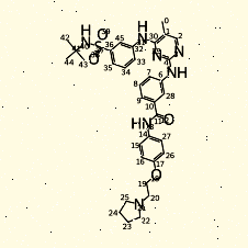 Cc1cnc(Nc2cccc(C(=O)Nc3ccc(OCCN4CCCC4)cc3)c2)nc1Nc1cccc(S(=O)(=O)NC(C)(C)C)c1